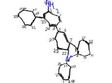 NC1C=CC(C2C=C3C4=C(CCCC4)N(C4CC=CCC4)C3CC2)=CC1C1CCCCC1